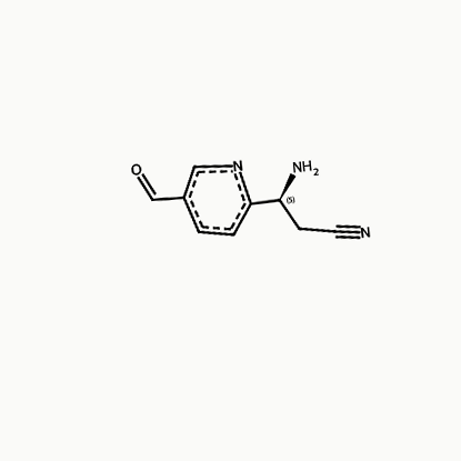 N#CC[C@H](N)c1ccc(C=O)cn1